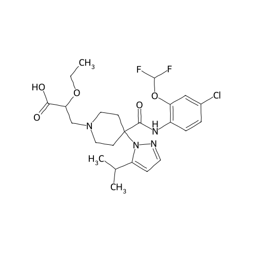 CCOC(CN1CCC(C(=O)Nc2ccc(Cl)cc2OC(F)F)(n2nccc2C(C)C)CC1)C(=O)O